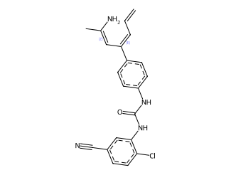 C=C/C=C(\C=C(\C)N)c1ccc(NC(=O)Nc2cc(C#N)ccc2Cl)cc1